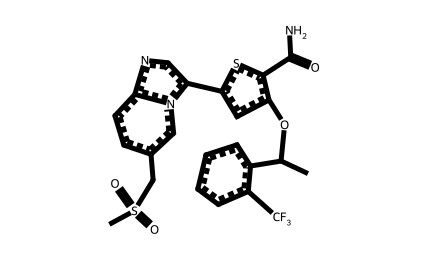 CC(Oc1cc(-c2cnc3ccc(CS(C)(=O)=O)cn23)sc1C(N)=O)c1ccccc1C(F)(F)F